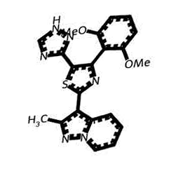 COc1cccc(OC)c1-c1nc(-c2c(C)nn3ccccc23)sc1-c1nc[nH]n1